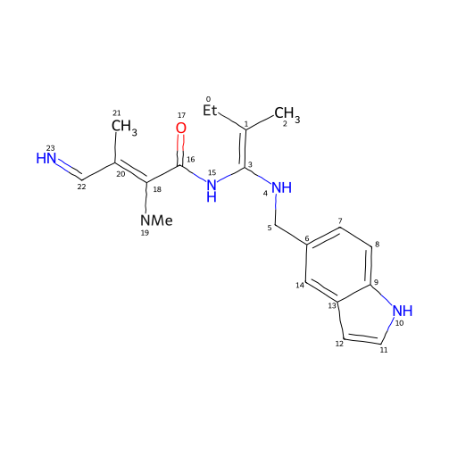 CC/C(C)=C(/NCc1ccc2[nH]ccc2c1)NC(=O)/C(NC)=C(\C)C=N